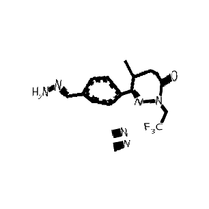 C#N.C#N.CC1CC(=O)N(CC(F)(F)F)N=C1c1ccc(C=NN)cc1